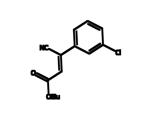 CC(C)COC(=O)C=C(C#N)c1cccc(Cl)c1